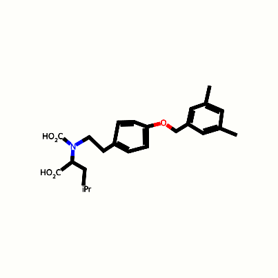 Cc1cc(C)cc(COc2ccc(CCN(C(=O)O)C(CC(C)C)C(=O)O)cc2)c1